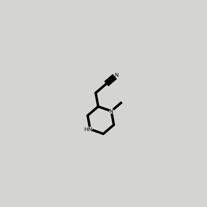 CN1CCNCC1CC#N